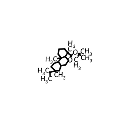 CC(C)C1(C)CCC2C(CCC3C(C)(C(=O)OC(C)(C)C)CCCC23C)C1